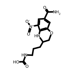 NC(=O)c1cc2c(c([N+](=O)[O-])c1)NC(CCCNC(=O)O)CO2